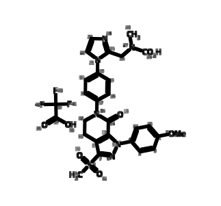 COc1ccc(-n2nc(S(C)(=O)=O)c3c2C(=O)N(c2ccc(-n4ccnc4CN(C)C(=O)O)cc2)CC3)cc1.O=C(O)C(F)(F)F